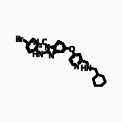 Cn1c(Nc2ccc(Br)cc2)nc2cc(Oc3ccnc(CNCC4CCCCC4)c3)ccc21